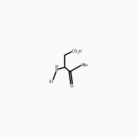 CCNC(CC(=O)O)C(=O)C(C)(C)C